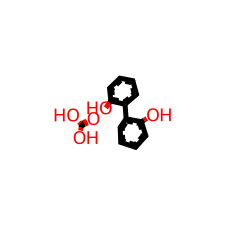 O=C(O)O.Oc1ccccc1-c1ccccc1O